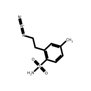 Cc1ccc(S(N)(=O)=O)c(CCN=[N+]=[N-])c1